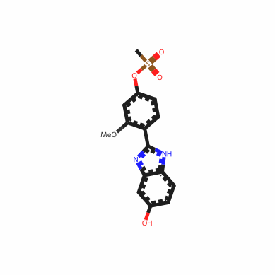 COc1cc(OS(C)(=O)=O)ccc1-c1nc2cc(O)ccc2[nH]1